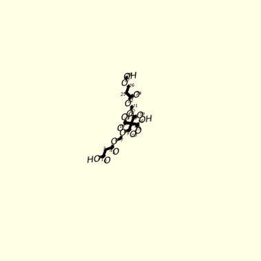 O=C(O)CC(=O)OCOC(=O)C(C(=O)O)(C(=O)O)C(=O)OCOC(=O)CCOO